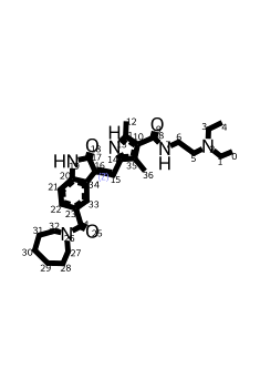 CCN(CC)CCNC(=O)c1c(C)[nH]c(/C=C2\C(=O)Nc3ccc(C(=O)N4CCCCCC4)cc32)c1C